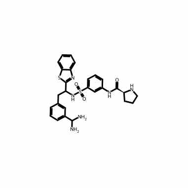 NC(N)c1cccc(CC(NS(=O)(=O)c2cccc(NC(=O)[C@@H]3CCCN3)c2)c2nc3ccccc3s2)c1